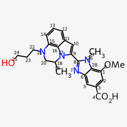 COc1cc(C(=O)O)cc2nc(-c3cc4cccc5c4n3C(C)CN5CCCO)n(C)c12